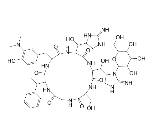 CC(c1ccccc1)C1NC(=O)CNC(=O)C(CO)NC(=O)C(C(O)C2CNC(=N)N2C2OC(CO)C(O)C(O)C2O)NC(=O)C(C(O)C2CNC(=N)N2)NC(=O)C(Cc2ccc(O)c(N(C)C)c2)NC1=O